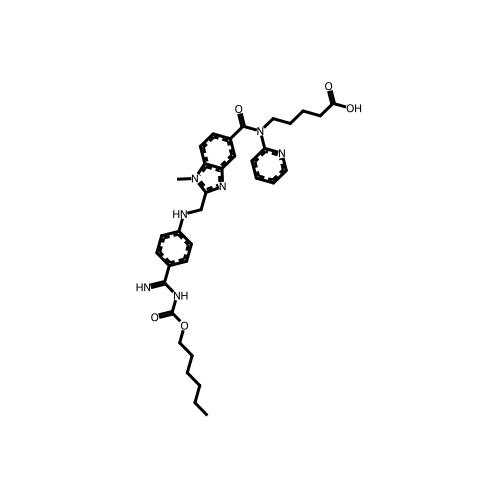 CCCCCCOC(=O)NC(=N)c1ccc(NCc2nc3cc(C(=O)N(CCCCC(=O)O)c4ccccn4)ccc3n2C)cc1